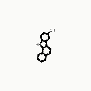 Oc1ccc2[nH]c3c4ccccc4ccc3c2c1